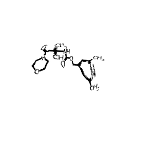 Cc1cc(COC(=O)NC(C)(C)C(=O)N2CCOCC2)cc(C)n1